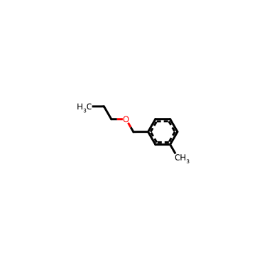 CCCOCc1cccc(C)c1